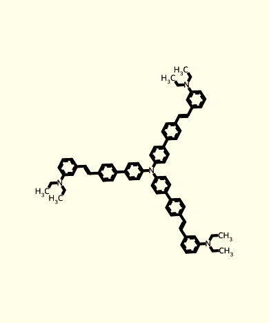 CCN(CC)c1cccc(C=Cc2ccc(-c3ccc(N(c4ccc(-c5ccc(C=Cc6cccc(N(CC)CC)c6)cc5)cc4)c4ccc(-c5ccc(C=Cc6cccc(N(CC)CC)c6)cc5)cc4)cc3)cc2)c1